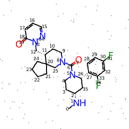 CN[C@@H]1CCN(C(=O)N2CC[C@@H](Cn3ncccc3=O)C3(CCCC3)C2)[C@H](c2ccc(F)cc2F)C1